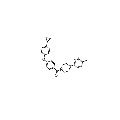 Cc1ccc(N2CCN(C(=O)c3ccc(Oc4ccc(C5CC5)cc4)cc3)CC2)nn1